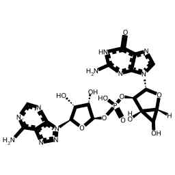 Nc1nc2c(ncn2[C@@H]2O[C@@H]3C(O)[C@]3(O)[C@H]2OP(=O)(O)O[C@H]2O[C@@H](n3nnc4c(N)ncnc43)[C@H](O)[C@@H]2O)c(=O)[nH]1